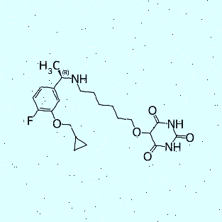 C[C@@H](NCCCCCCOC1C(=O)NC(=O)NC1=O)c1ccc(F)c(OCC2CC2)c1